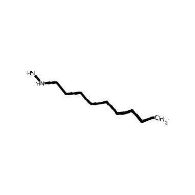 [CH2]CCCCCCCCN[NH]